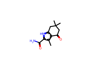 Cc1c(C(N)=O)[nH]c2c1C(=O)CC(C)(C)C2